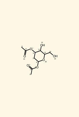 CC(=O)OC1CC(OC(C)=O)C(O)C(CO)O1